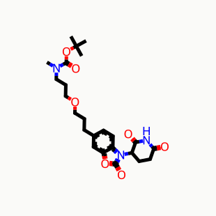 CN(CCCOCCCc1ccc2c(c1)oc(=O)n2C1CCC(=O)NC1=O)C(=O)OC(C)(C)C